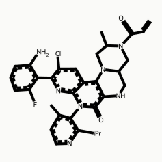 C=CC(=O)N1CC2CNc3c(c4cc(Cl)c(-c5c(N)cccc5F)nc4n(-c4c(C)ccnc4C(C)C)c3=O)N2CC1C